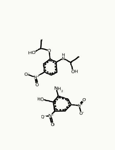 CC(O)Nc1ccc([N+](=O)[O-])cc1OC(C)O.Nc1cc([N+](=O)[O-])cc([N+](=O)[O-])c1O